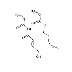 C=CC(=O)NC(=O)C=CCO.C=CC(=O)OCCCC